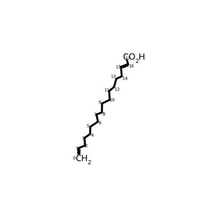 C=CCCCCCCCCCCCCCC=CC(=O)O